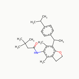 Cc1c2c(c(C(C)c3ccc(C(C)C)cc3)c(C)c1NC(=O)CC(C)(C)C)OCC2